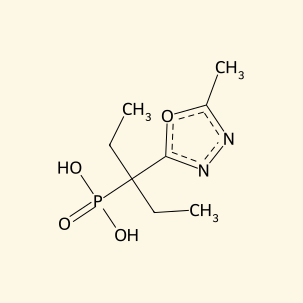 CCC(CC)(c1nnc(C)o1)P(=O)(O)O